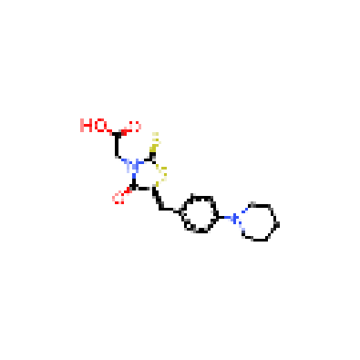 O=C(O)CN1C(=O)C(=Cc2ccc(N3CCCCC3)cc2)SC1=S